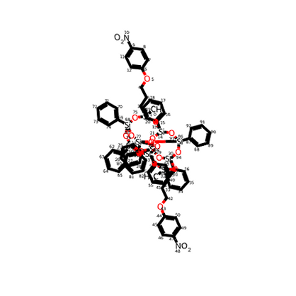 C[Si]1(CCCOc2ccc([N+](=O)[O-])cc2)O[Si]2(c3ccccc3)O[Si]3(c4ccccc4)O[Si]4(c5ccccc5)O[Si](C)(CCCOc5ccc([N+](=O)[O-])cc5)O[Si]5(c6ccccc6)O[Si](c6ccccc6)(O[Si](c6ccccc6)(O1)O[Si](c1ccccc1)(O5)O[Si](c1ccccc1)(O2)O4)O3